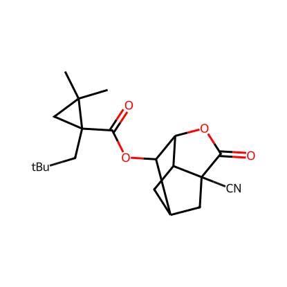 CC(C)(C)CC1(C(=O)OC2C3CC4C2OC(=O)C4(C#N)C3)CC1(C)C